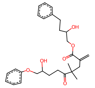 C=C(CC(C)(C)C(=O)CCC(O)COc1ccccc1)C(=O)OCC(O)CCc1ccccc1